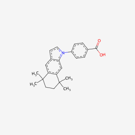 CC1(C)CCC(C)(C)c2cc3c(ccn3-c3ccc(C(=O)O)cc3)cc21